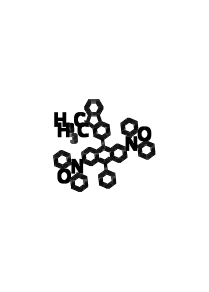 CC1(C)c2ccccc2-c2ccc(-c3c4ccc(N5c6ccccc6Oc6ccccc65)cc4c(-c4ccccc4)c4ccc(N5c6ccccc6Oc6ccccc65)cc34)cc21